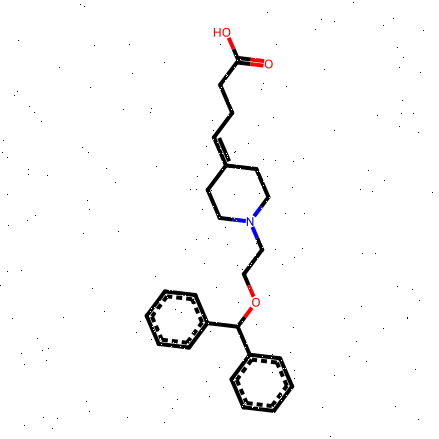 O=C(O)CCC=C1CCN(CCOC(c2ccccc2)c2ccccc2)CC1